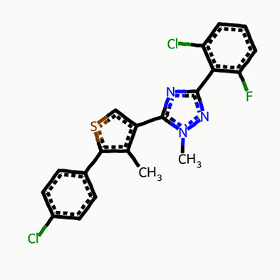 Cc1c(-c2nc(-c3c(F)cccc3Cl)nn2C)csc1-c1ccc(Cl)cc1